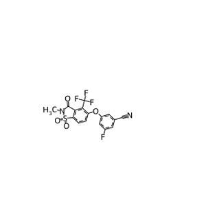 CN1C(=O)c2c(ccc(Oc3cc(F)cc(C#N)c3)c2C(F)(F)F)S1(=O)=O